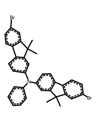 CC1(C)c2cc(Br)ccc2-c2ccc(N(c3ccccc3)c3ccc4c(c3)C(C)(C)c3cc(Br)ccc3-4)cc21